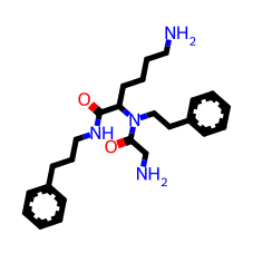 NCCCCC(C(=O)NCCCc1ccccc1)N(CCc1ccccc1)C(=O)CN